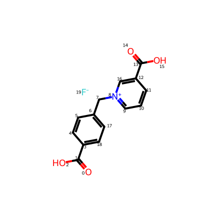 O=C(O)c1ccc(C[n+]2cccc(C(=O)O)c2)cc1.[F-]